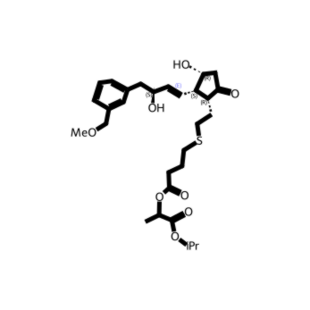 COCc1cccc(C[C@H](O)/C=C/[C@@H]2[C@H](O)CC(=O)[C@@H]2CCSCCCC(=O)OC(C)C(=O)OC(C)C)c1